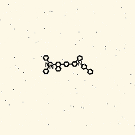 c1ccc(-c2ccc(-n3c4ccccc4c4cc(-c5ccc(-c6ccc(-c7cc(-c8ccccc8)nc(-c8ccccc8)n7)c7ccccc67)cc5)ccc43)cc2)cc1